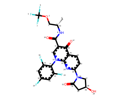 C[C@@H](COC(F)(F)F)NC(=O)c1cn(-c2c(F)cc(F)cc2F)c2nc(N3C[C@@H](O)CC3=O)ccc2c1=O